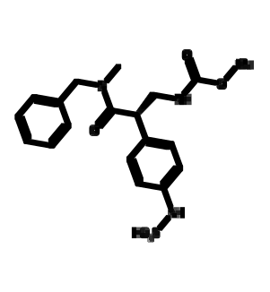 CN(Cc1ccccc1)C(=O)[C@@H](CNC(=O)OC(C)(C)C)c1ccc(NS(=O)(=O)O)cc1